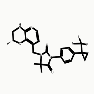 C[C@@H]1CNc2nccc(CN3C(=O)N(c4ccc(C5(C(F)(F)F)CC5)cc4)C(=O)C3(C)C)c2O1